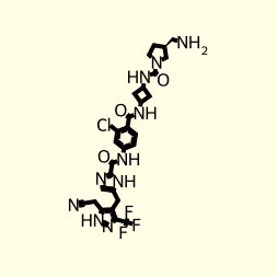 N#CCc1[nH]nc(C(F)(F)F)c1Cc1cnc(C(=O)Nc2ccc(C(=O)NC3CC(NC(=O)N4CC[C@@H](CN)C4)C3)c(Cl)c2)[nH]1